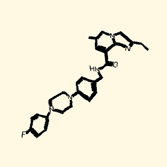 CCc1cn2cc(C)cc(C(=O)NCc3ccc(N4CCN(c5ccc(F)cc5)CC4)cc3)c2n1